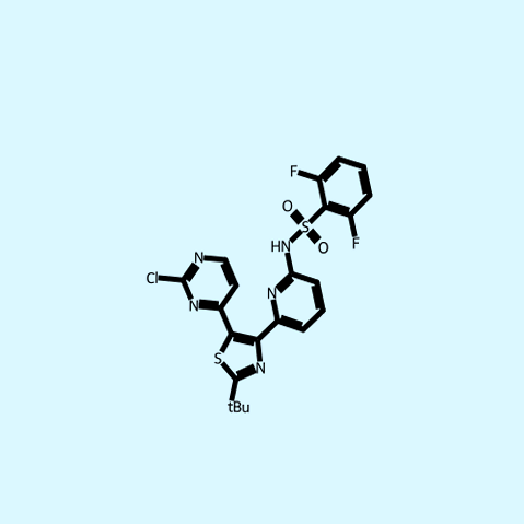 CC(C)(C)c1nc(-c2cccc(NS(=O)(=O)c3c(F)cccc3F)n2)c(-c2ccnc(Cl)n2)s1